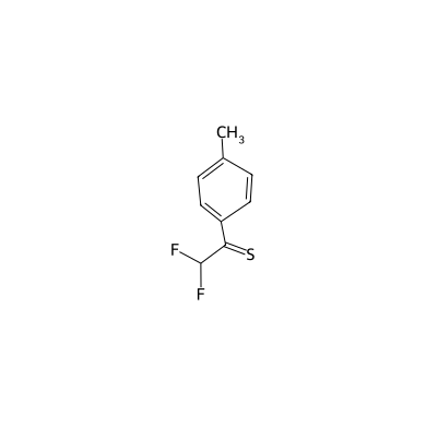 Cc1ccc(C(=S)C(F)F)cc1